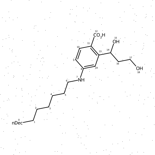 CCCCCCCCCCCCCCCCNc1ccc(C(=O)O)c(C(O)CCO)c1